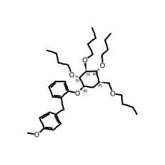 CCCCOC[C@H]1C[C@@H](Oc2ccccc2Cc2ccc(OC)cc2)[C@H](OCCCC)[C@@H](OCCCC)[C@@H]1OCCCC